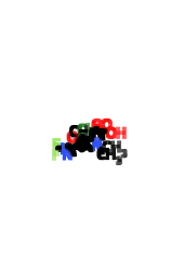 COc1cc2c(cc1-c1cnn(C(F)F)c1)CN(C(C)C)n1cc(C(=O)O)c(=O)c(Cl)c1-2